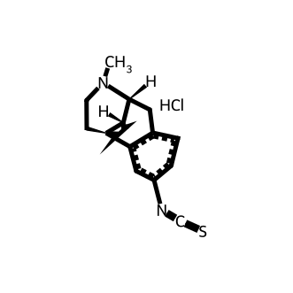 CN1CC[C@]23CCCC[C@H]2[C@H]1Cc1ccc(N=C=S)cc13.Cl